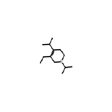 CCC1=C(C(C)C)CCN(C(C)C)C1